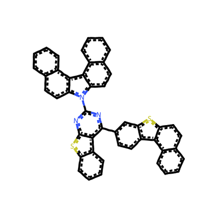 c1ccc2c(c1)ccc1sc3cc(-c4nc(-n5c6ccc7ccccc7c6c6c7ccccc7ccc65)nc5sc6ccccc6c45)ccc3c12